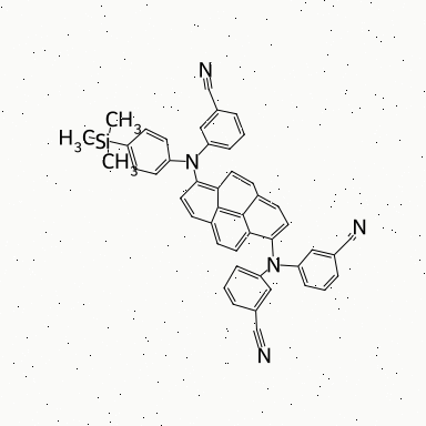 C[Si](C)(C)c1ccc(N(c2cccc(C#N)c2)c2ccc3ccc4c(N(c5cccc(C#N)c5)c5cccc(C#N)c5)ccc5ccc2c3c54)cc1